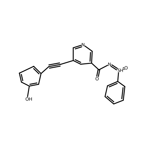 O=C(/N=[SH](=O)\c1ccccc1)c1cncc(C#Cc2cccc(O)c2)c1